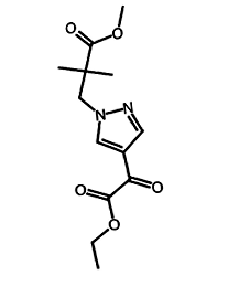 CCOC(=O)C(=O)c1cnn(CC(C)(C)C(=O)OC)c1